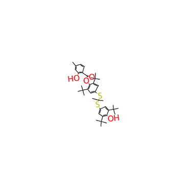 Cc1ccc(C(=O)Oc2c(C(C)(C)C)cc(SC(C)(C)Sc3cc(C(C)(C)C)c(O)c(C(C)(C)C)c3)cc2C(C)(C)C)c(O)c1